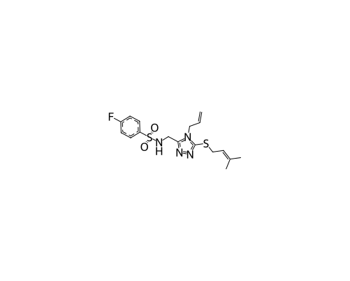 C=CCn1c(CNS(=O)(=O)c2ccc(F)cc2)nnc1SCC=C(C)C